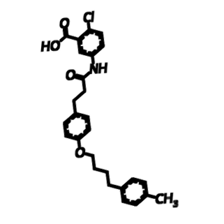 Cc1ccc(CCCCOc2ccc(CCC(=O)Nc3ccc(Cl)c(C(=O)O)c3)cc2)cc1